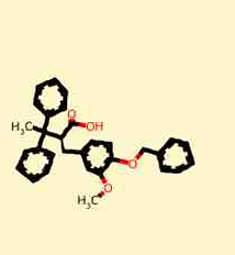 COc1cc(C[C@H](C(=O)O)C(C)(c2ccccc2)c2ccccc2)ccc1OCc1ccccc1